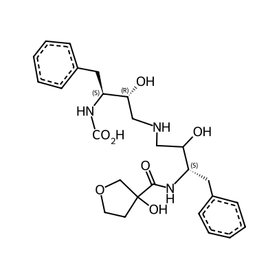 O=C(O)N[C@@H](Cc1ccccc1)[C@H](O)CNCC(O)[C@H](Cc1ccccc1)NC(=O)C1(O)CCOC1